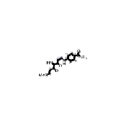 CN/C=C/C(=O)C(=N)C(=O)/C=C\Nc1ccc(C(N)=O)cc1